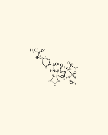 CC(=O)Nc1ccc(C(=O)NC(C(=O)N2CC(C)[C@H]3OCC(=O)[C@H]32)C2(C)CCCC2)cc1